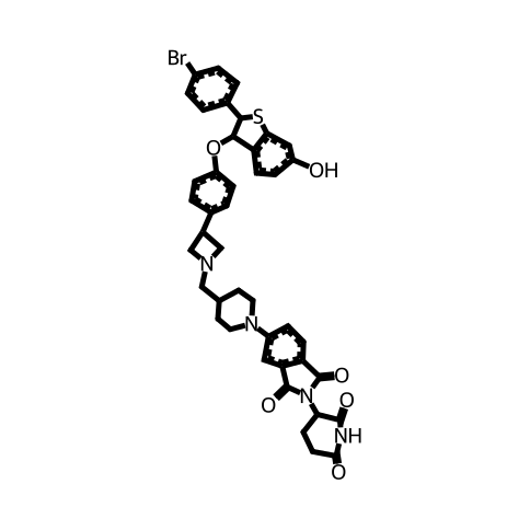 O=C1CCC(N2C(=O)c3ccc(N4CCC(CN5CC(c6ccc(OC7c8ccc(O)cc8SC7c7ccc(Br)cc7)cc6)C5)CC4)cc3C2=O)C(=O)N1